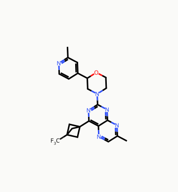 Cc1cc(C2CN(c3nc(C45CC(C(F)(F)F)(C4)C5)c4ncc(C)nc4n3)CCO2)ccn1